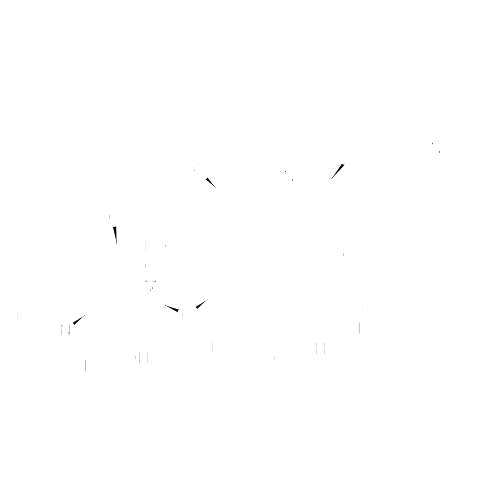 CCCN1C[C@H](C)C[C@@](C)(OC)[C@H](O[C@@H]2O[C@H](C)C[C@H](N(C)C)[C@H]2O)[C@@H](C)C(=O)C(C)(C)C(=O)OC[C@@H]1CCCN1CCCC1